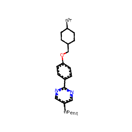 CCCCCc1cnc(-c2ccc(OCC3CCC(CCC)CC3)cc2)nc1